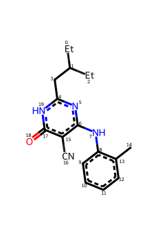 CCC(CC)Cc1nc(Nc2ccccc2C)c(C#N)c(=O)[nH]1